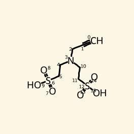 C#CCN(CCS(=O)(=O)O)CCS(=O)(=O)O